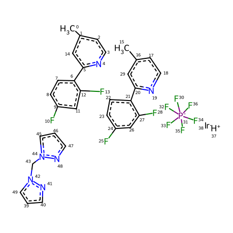 Cc1ccnc(-c2ccc(F)cc2F)c1.Cc1ccnc(-c2ccc(F)cc2F)c1.F[P-](F)(F)(F)(F)F.[H+].[Ir].c1cnn(Cn2cccn2)c1